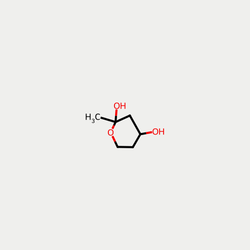 CC1(O)CC(O)CCO1